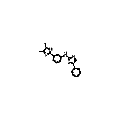 Cc1nc(-c2cccc(Nc3ncc(-c4ccccc4)s3)c2)[nH]c1C